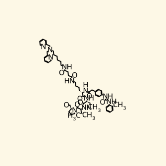 CC[C@H](NC(=O)[C@H](CCCCNC(=O)CCC(=O)NCCCCCCN(Cc1ccccn1)Cc1ccccn1)NC(=O)Cc1ccc(NC(=O)Nc2ccccc2C)cc1)C(=O)N[C@H](C(=O)N1CCC[C@H]1C=O)C(C)C